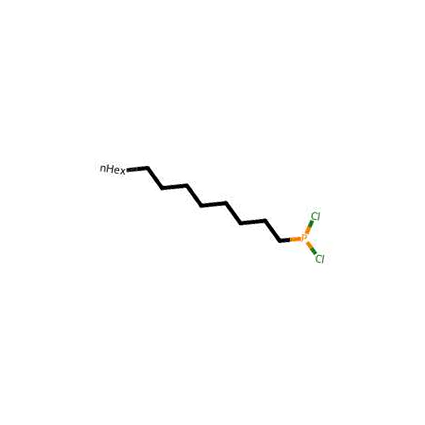 CCCCCCCCCCCCCCP(Cl)Cl